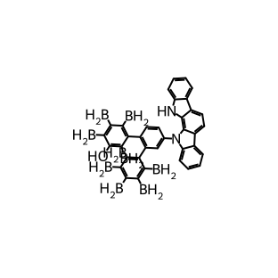 Bc1c(B)c(B)c(-c2cc(-n3c4ccccc4c4ccc5c6ccccc6[nH]c5c43)ccc2-c2c(B)c(B)c(B)c(O)c2B)c(B)c1B